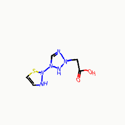 O=C(O)CN1N=CN(N2NC=CS2)N1